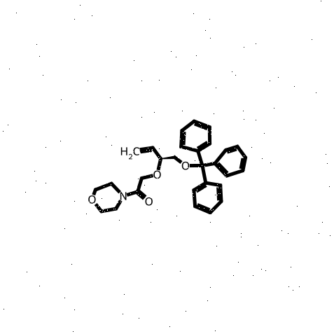 C=C[C@@H](COC(c1ccccc1)(c1ccccc1)c1ccccc1)OCC(=O)N1CCOCC1